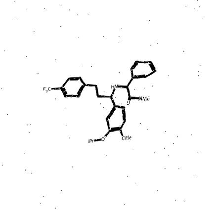 CNC(=O)C(N[C@H](CCc1ccc(C(F)(F)F)cc1)c1ccc(OC)c(OC(C)C)c1)c1ccccc1